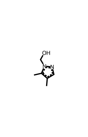 Cc1cnn(CO)c1C